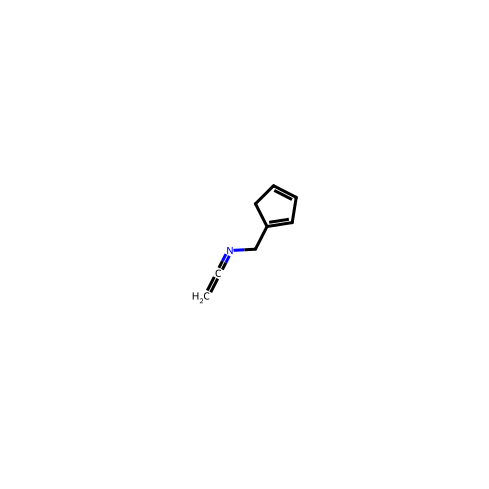 C=C=NCC1=CC=CC1